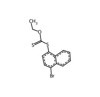 CCOC(=S)Sc1ccc(Br)c2ccccc12